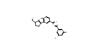 CCc1cc(OC(F)(F)F)cc(-c2nc(-c3ccc4[nH]c5c(c4c3)CCC5CC(=O)O)no2)c1